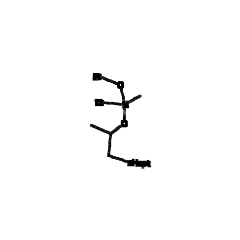 CCCCCCCCC(C)O[Si](C)(CC)OCC